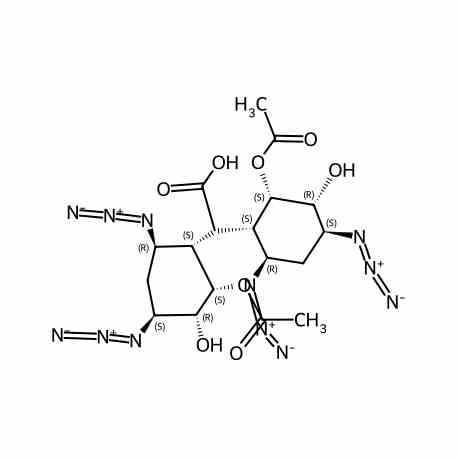 CC(=O)O[C@@H]1[C@H](O)[C@@H](N=[N+]=[N-])C[C@@H](N=[N+]=[N-])[C@@H]1C(C(=O)O)[C@@H]1[C@H](OC(C)=O)[C@H](O)[C@@H](N=[N+]=[N-])C[C@H]1N=[N+]=[N-]